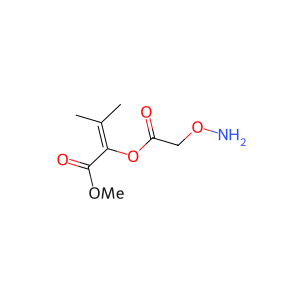 COC(=O)C(OC(=O)CON)=C(C)C